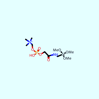 CO[Si](CNC(=O)COP(=O)(O)OC[N+](C)(C)C)(OC)OC